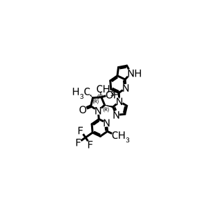 Cc1cc(C(F)(F)F)cc(N2C(=O)[C@H](C)[C@@](C)(O)[C@H]2c2nccn2-c2ccc3cc[nH]c3n2)n1